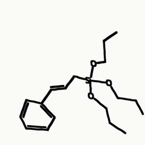 CCCO[Si](CC=Cc1ccccc1)(OCCC)OCCC